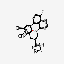 Fc1ccc(-c2ccc(Cl)c(Cl)c2)c2c(N3CC(c4nnn[nH]4)CC(F)(F)C3)ncnc12